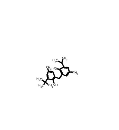 Cc1cc(Cc2cc(C)cc(C(C)(C)C)c2O)c(O)c(C(C)C)c1